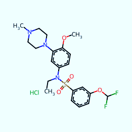 CCN(c1ccc(OC)c(N2CCN(C)CC2)c1)S(=O)(=O)c1cccc(OC(F)F)c1.Cl